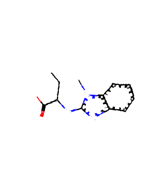 CCC(Nc1nc2ccccc2n1C)C(=O)O